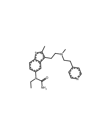 CCN(C(N)=O)c1ccc2sc(C)c(CCN(C)CCc3ccncc3)c2c1